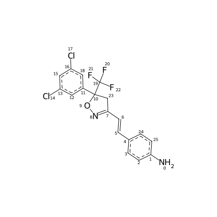 Nc1ccc(C=CC2=NOC(c3cc(Cl)cc(Cl)c3)(C(F)(F)F)C2)cc1